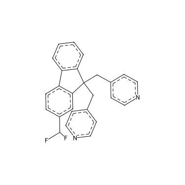 FC(F)c1ccc2c(c1)C(Cc1ccncc1)(Cc1ccncc1)c1ccccc1-2